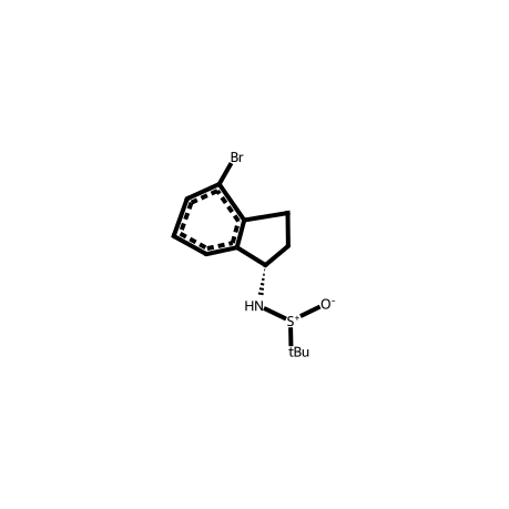 CC(C)(C)[S+]([O-])N[C@H]1CCc2c(Br)cccc21